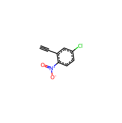 C#Cc1cc(Cl)ccc1[N+](=O)[O-]